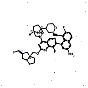 C#Cc1c(F)ccc2cc(N)cc(-c3ncc4c(N5C[C@@H]6CC[C@](C7CCOCC7)(C5)N6)nc(OC[C@@]56CCCN5C/C(=C\F)C6)nc4c3F)c12